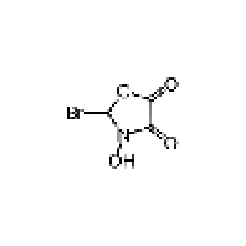 O=C1OC(Br)N(O)C1=O